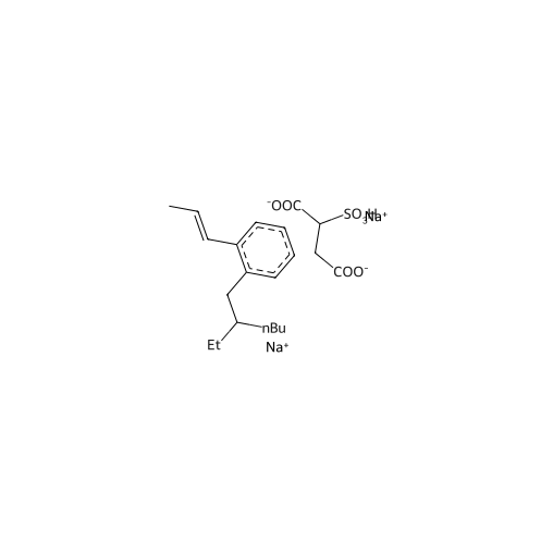 CC=Cc1ccccc1CC(CC)CCCC.O=C([O-])CC(C(=O)[O-])S(=O)(=O)O.[Na+].[Na+]